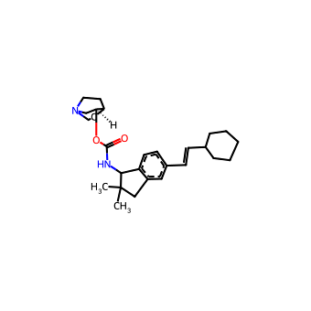 CC1(C)Cc2cc(/C=C/C3CCCCC3)ccc2C1NC(=O)O[C@H]1CN2CCC1CC2